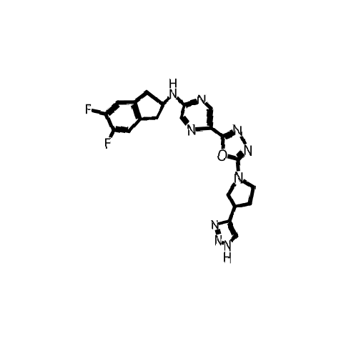 Fc1cc2c(cc1F)CC(Nc1cnc(-c3nnc(N4CCC(c5c[nH]nn5)C4)o3)cn1)C2